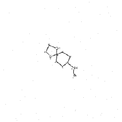 CC(C)NC1CCC2(CC1)OCCO2